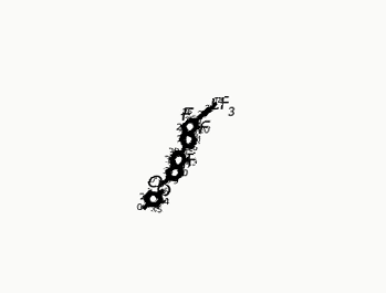 Cc1ccc(OC(=O)c2ccc3c(F)c(-c4ccc5c(F)c(C#CC(F)(F)F)c(F)cc5c4)ccc3c2)cc1